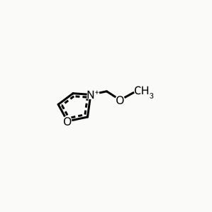 COC[n+]1ccoc1